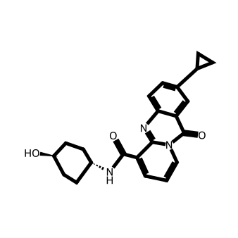 O=C(N[C@H]1CC[C@H](O)CC1)c1cccn2c(=O)c3cc(C4CC4)ccc3nc12